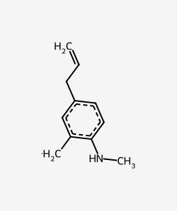 [CH2]c1cc(CC=C)ccc1NC